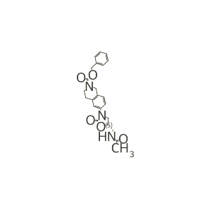 CC(=O)NC[C@H]1CN(c2ccc3c(c2)CCN(C(=O)OCc2ccccc2)C3)C(=O)O1